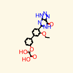 CCOc1cc(-c2cccc(O[C@H](O)C(=O)O)c2)ccc1-c1nc2[nH]nnc2c(=O)[nH]1